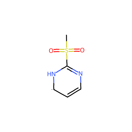 CS(=O)(=O)C1=NC=C[CH]N1